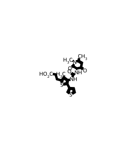 CC1=CC(=O)[C@H](NC(=O)Nc2c(-c3ccsc3)sc(CCC(=O)O)c2C)C(=O)N1C